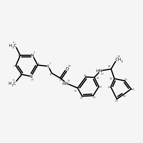 Cc1cc(C)nc(SCC(=O)Nc2cccc(NC(C)c3ccccc3)c2)n1